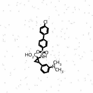 CN(C)c1cccc(C2CC2(NS(=O)(=O)c2ccc(-c3ccc(Cl)cc3)cc2)C(=O)O)c1